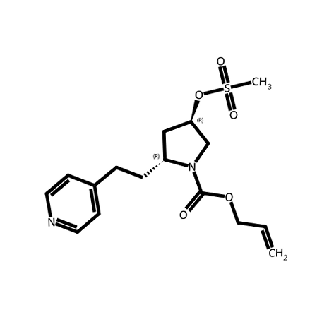 C=CCOC(=O)N1C[C@H](OS(C)(=O)=O)C[C@H]1CCc1ccncc1